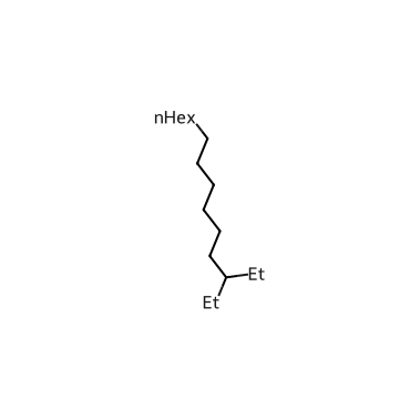 [CH2]CCCCCCCCCCCC(CC)CC